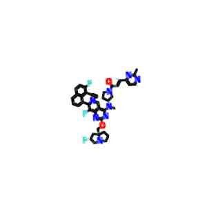 C#Cc1c(F)ccc2cccc(-c3ncc4c(N(C)[C@@H]5CCN(C(=O)/C=C/c6ccnc(C)n6)C5)nc(OC[C@@]56CCCN5C[C@H](F)C6)nc4c3F)c12